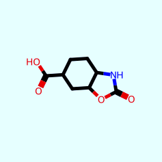 O=C1NC2CCC(C(=O)O)CC2O1